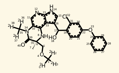 [2H]C([2H])([2H])OC[C@]1(C)Nc2c(cnc3[nH]cc(C(O)c4ccc(Oc5ccccc5)cc4Cl)c23)N(C([2H])([2H])[2H])C1=O